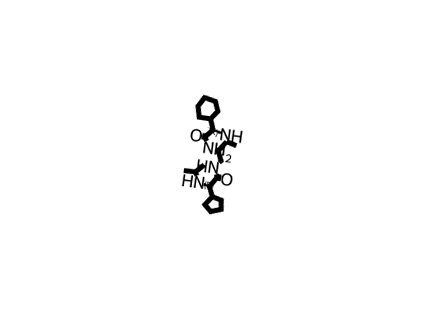 CC(C)N[C@@H](C(=O)NCCC(C)N[C@@H](C(N)=O)C1CCCCC1)C1CCCC1